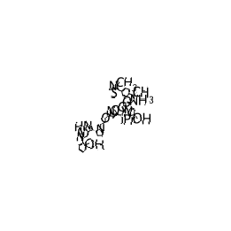 Cc1ncsc1-c1ccc([C@H](C)NC(=O)[C@@H]2C[C@@H](O)CN2C(=O)[C@@H](c2cc(OCCN3CCC[C@@H]3c3c[nH]c4nnc(-c5ccccc5O)cc34)no2)C(C)C)cc1